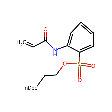 C=CC(=O)Nc1ccccc1S(=O)(=O)OCCCCCCCCCCCC